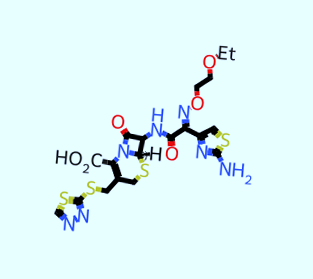 CCOCCON=C(C(=O)NC1C(=O)N2C(C(=O)O)=C(CSc3nncs3)CS[C@@H]12)c1csc(N)n1